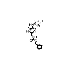 CC(C)[C@H](NC(=O)[C@H](C)NC(=O)CNC(=O)OCc1ccccc1)C(=O)O